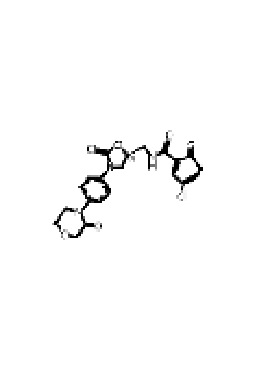 O=C(NC[C@H]1CN(c2ccc(N3CCOCC3=O)cc2)C(=O)O1)C1=CC(Cl)=CCC1=S